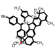 CC1=CC(C)[C]([Zr+2](=[C](c2ccc(C(C)(C)C)cc2)c2ccc(C(C)(C)C)cc2)[CH]2c3cc4c(cc3-c3cc5c(cc32)C(C)(C)CC=C5C)C(C)=CCC4(C)C)=C1.[Cl-].[Cl-]